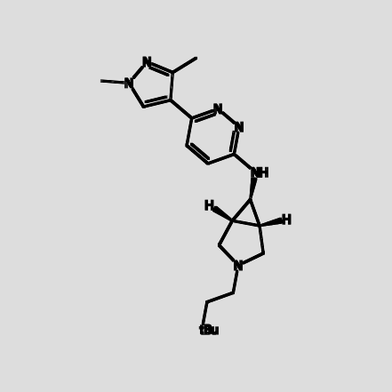 Cc1nn(C)cc1-c1ccc(N[C@H]2[C@@H]3CN(CCC(C)(C)C)C[C@@H]32)nn1